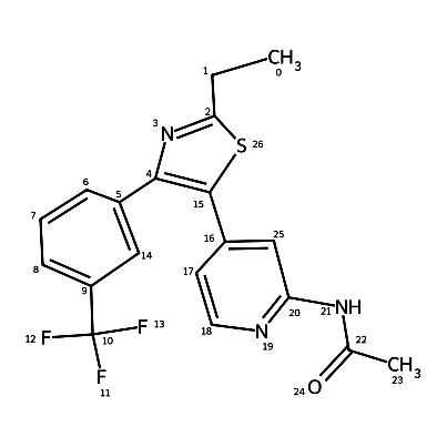 CCc1nc(-c2cccc(C(F)(F)F)c2)c(-c2ccnc(NC(C)=O)c2)s1